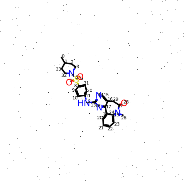 CC1CCN(S(=O)(=O)c2ccc(Nc3ncc4c(n3)-c3ccccc3N(C)C(=O)C4)cc2)CC1